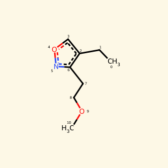 CCc1conc1CCOC